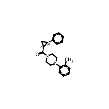 Cc1ccccc1N1CCN(C(=O)[C@H]2C[C@H]2c2ccccc2)CC1